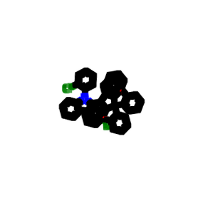 Clc1ccccc1-n1c2ccccc2c2cc(Br)c3c(c21)-c1ccccc1C3(c1ccccc1-c1ccccc1)c1ccccc1-c1ccccc1